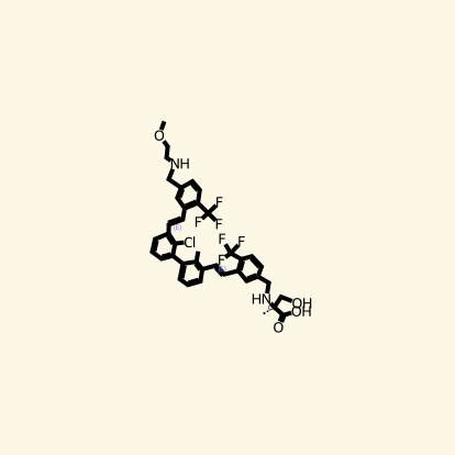 COCCNCc1ccc(C(F)(F)F)c(/C=C/c2cccc(-c3cccc(/C=C/c4cc(CN[C@@](C)(CO)C(=O)O)ccc4C(F)(F)F)c3C)c2Cl)c1